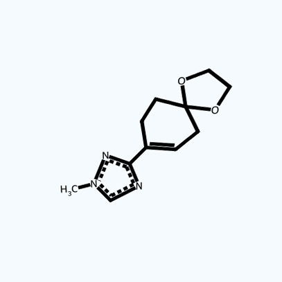 Cn1cnc(C2=CCC3(CC2)OCCO3)n1